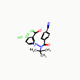 CC(C)(C)N(N)C(=O)c1ccc(C#N)cc1.Cl.Cl.O=C(Cl)c1ccccc1